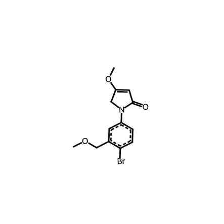 COCc1cc(N2CC(OC)=CC2=O)ccc1Br